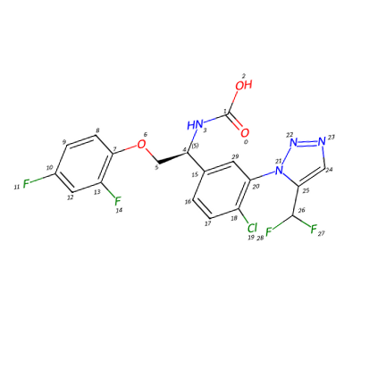 O=C(O)N[C@H](COc1ccc(F)cc1F)c1ccc(Cl)c(-n2nncc2C(F)F)c1